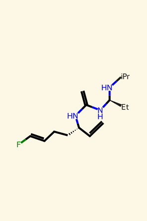 C=C[C@H](CC/C=C/F)NC(=C)N[C@H](CC)NC(C)C